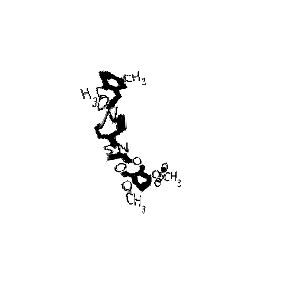 COc1ccc(OS(C)(=O)=O)c2c1COC(c1csc(C3CCN(C(=O)Cc4cc(C)ccc4C)CC3)n1)OC2